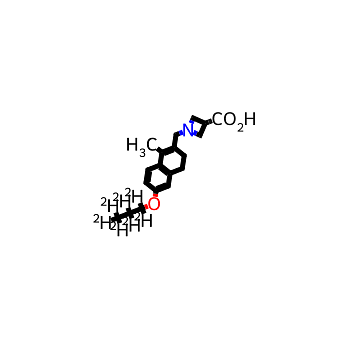 [2H]C([2H])([2H])C([2H])([2H])C([2H])([2H])Oc1ccc2c(c1)CCC(CN1CC(C(=O)O)C1)=C2C